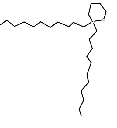 CCCCCCCCCCC[Si]1(CCCCCCCCCCC)CCCCO1